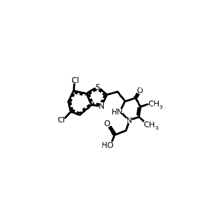 CC1=C(C)N(CC(=O)O)NC(Cc2nc3cc(Cl)cc(Cl)c3s2)C1=O